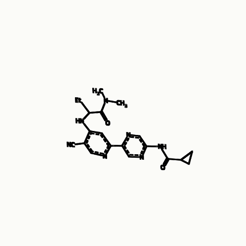 CCC(Nc1cc(-c2cnc(NC(=O)C3CC3)cn2)ncc1C#N)C(=O)N(C)C